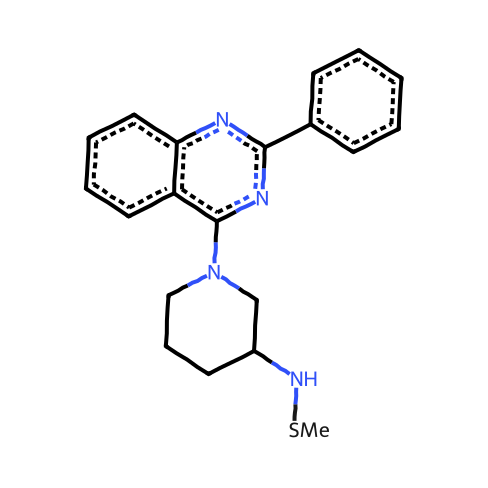 CSNC1CCCN(c2nc(-c3ccccc3)nc3ccccc23)C1